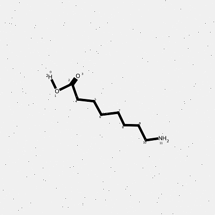 [2H]OC(=O)CCCCCCCN